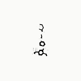 C=C(F)c1ccc(C(N)=O)cc1Oc1ccc(OCCOC2CCCOC2)cc1